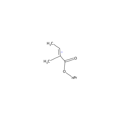 C/C=C(\C)C(=O)OCCC